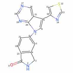 O=C1NCc2cc(-n3cc(-c4cscn4)c4cncnc43)ccc21